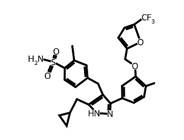 Cc1ccc(-c2n[nH]c(CC3CC3)c2Cc2ccc(S(N)(=O)=O)c(C)c2)cc1OCc1ccc(C(F)(F)F)o1